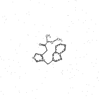 CON(C)C(=O)Cc1cncn1Cc1ccc2ccccc2c1